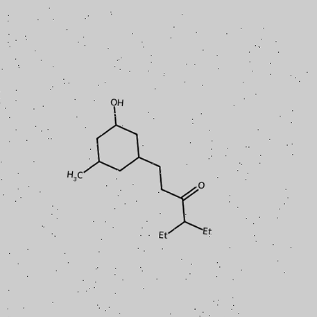 CCC(CC)C(=O)CCC1CC(C)CC(O)C1